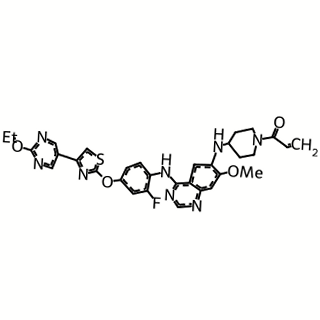 C=CC(=O)N1CCC(Nc2cc3c(Nc4ccc(Oc5nc(-c6cnc(OCC)nc6)cs5)cc4F)ncnc3cc2OC)CC1